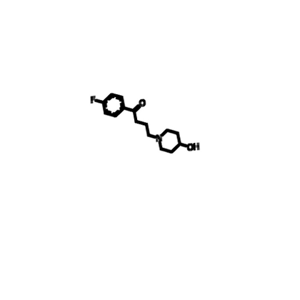 O=C(CCCN1CCC(O)CC1)c1ccc(F)cc1